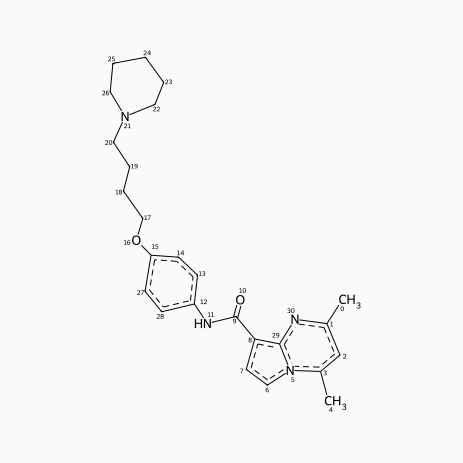 Cc1cc(C)n2ccc(C(=O)Nc3ccc(OCCCCN4CCCCC4)cc3)c2n1